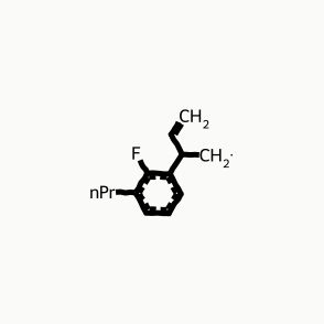 [CH2]C(C=C)c1cccc(CCC)c1F